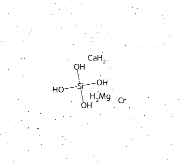 O[Si](O)(O)O.[CaH2].[Cr].[MgH2]